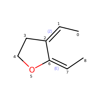 C/C=C1/CCO/C1=C/C